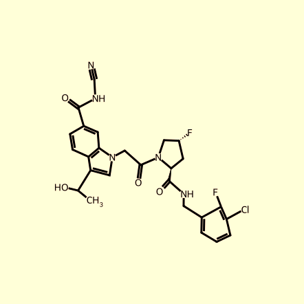 CC(O)c1cn(CC(=O)N2C[C@H](F)C[C@H]2C(=O)NCc2cccc(Cl)c2F)c2cc(C(=O)NC#N)ccc12